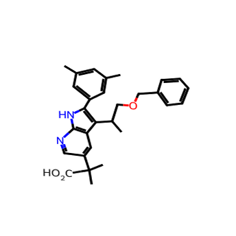 Cc1cc(C)cc(-c2[nH]c3ncc(C(C)(C)C(=O)O)cc3c2C(C)COCc2ccccc2)c1